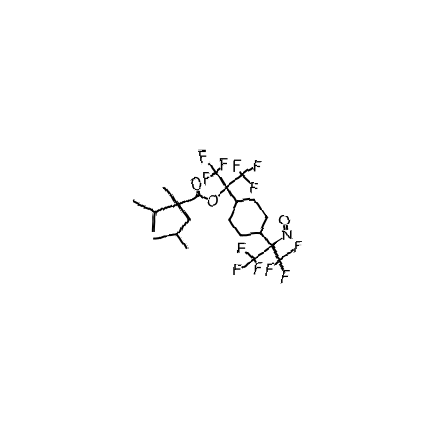 CC(C)CC(C)(C(=O)OC(C1CCC(C(N=O)(C(F)(F)F)C(F)(F)F)CC1)(C(F)(F)F)C(F)(F)F)C(C)C